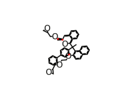 C=C/C=c1/cccc/c1=C(/OCCOCC1CO1)C(C)(c1ccc(-c2ccccc2)cc1)c1c(OCCOCC2CO2)ccc2ccccc12